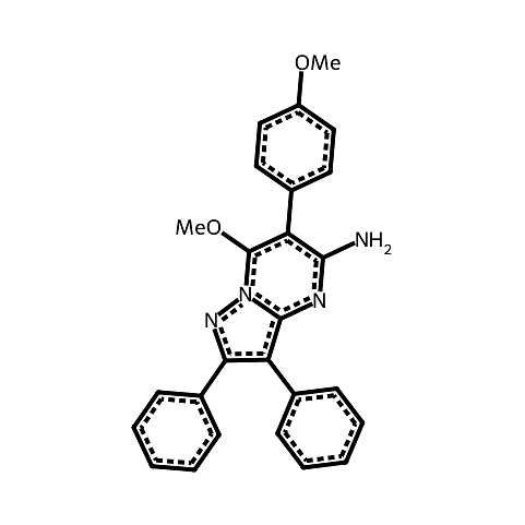 COc1ccc(-c2c(N)nc3c(-c4ccccc4)c(-c4ccccc4)nn3c2OC)cc1